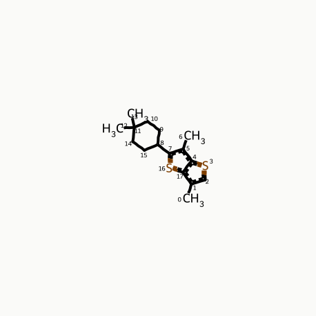 Cc1csc2c(C)c(C3CCC(C)(C)CC3)sc12